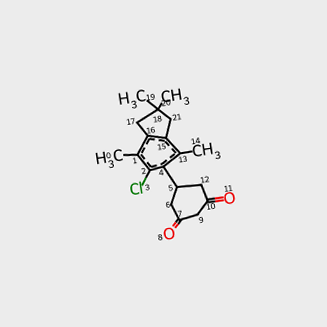 Cc1c(Cl)c(C2CC(=O)CC(=O)C2)c(C)c2c1CC(C)(C)C2